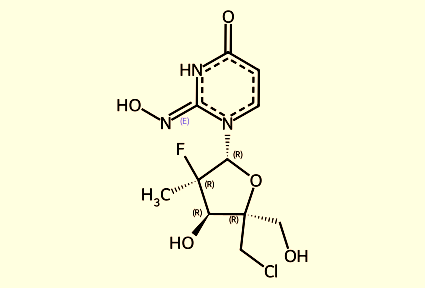 C[C@@]1(F)[C@H](O)[C@](CO)(CCl)O[C@H]1n1ccc(=O)[nH]/c1=N\O